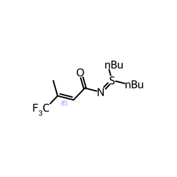 CCCCS(CCCC)=NC(=O)/C=C(\C)C(F)(F)F